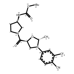 C[C@H]1O[C@H](C(=O)N2CC[C@@H](NC(=O)OC(C)(C)C)C2)CN1c1ccc(C#N)c(C(F)(F)F)c1